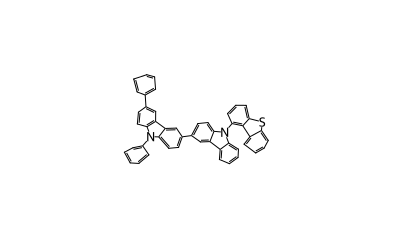 c1ccc(-c2ccc3c(c2)c2cc(-c4ccc5c(c4)c4ccccc4n5-c4cccc5sc6ccccc6c45)ccc2n3-c2ccccc2)cc1